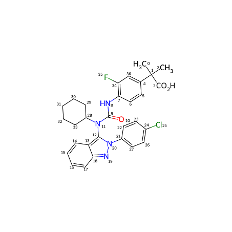 CC(C)(C(=O)O)c1ccc(NC(=O)N(c2c3ccccc3nn2-c2ccc(Cl)cc2)C2CCCCC2)c(F)c1